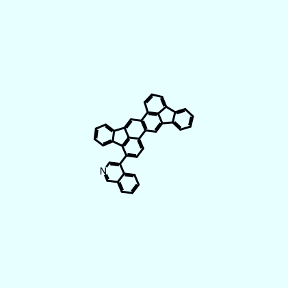 c1ccc2c(-c3ccc4c5cc6c7ccccc7c7cccc(c5cc5c8ccccc8c3c45)c76)cncc2c1